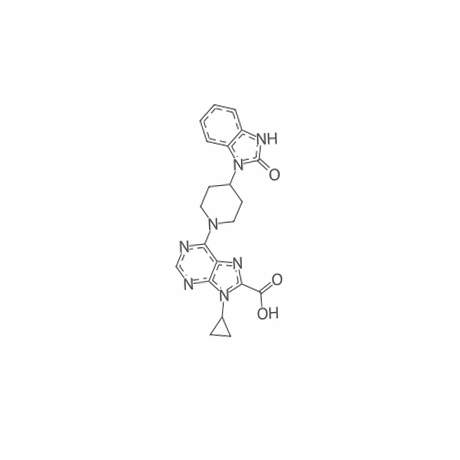 O=C(O)c1nc2c(N3CCC(n4c(=O)[nH]c5ccccc54)CC3)ncnc2n1C1CC1